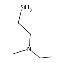 CCN(C)CC[SiH3]